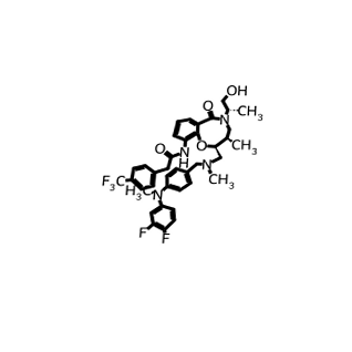 C[C@@H]1CN([C@@H](C)CO)C(=O)c2cccc(NC(=O)Cc3ccc(C(F)(F)F)cc3)c2O[C@@H]1CN(C)Cc1ccc(N(C)c2ccc(F)c(F)c2)cc1